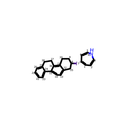 C1=CC=CNC=C1.IC1CCc2c(ccc3c2CCc2ccccc2-3)C1